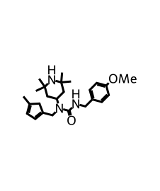 COc1ccc(CNC(=O)N(CC2=CC=C(C)C2)C2CC(C)(C)NC(C)(C)C2)cc1